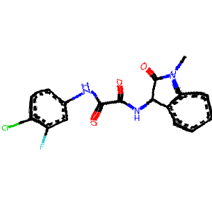 CN1C(=O)C(NC(=O)C(=O)Nc2ccc(Cl)c(F)c2)c2ccccc21